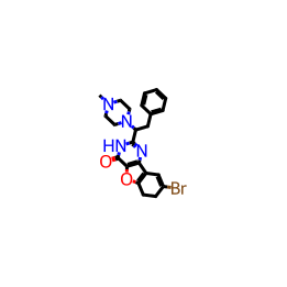 CN1CCN(C(Cc2ccccc2)c2nc3c4c(oc3c(=O)[nH]2)CCC(Br)=C4)CC1